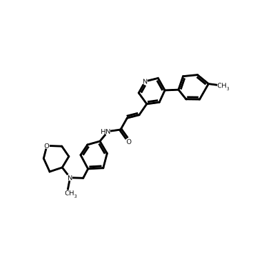 Cc1ccc(-c2cncc(/C=C/C(=O)Nc3ccc(CN(C)C4CCOCC4)cc3)c2)cc1